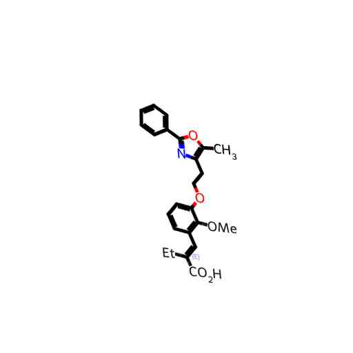 CC/C(=C\c1cccc(OCCc2nc(-c3ccccc3)oc2C)c1OC)C(=O)O